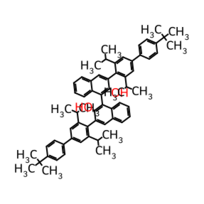 CC(C)c1cc(-c2ccc(C(C)(C)C)cc2)cc(C(C)C)c1-c1cc2ccccc2c(-c2c(O)c(-c3c(C(C)C)cc(-c4ccc(C(C)(C)C)cc4)cc3C(C)C)cc3ccccc23)c1O